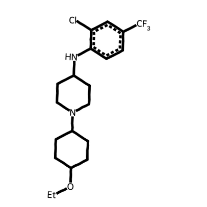 CCOC1CCC(N2CCC(Nc3ccc(C(F)(F)F)cc3Cl)CC2)CC1